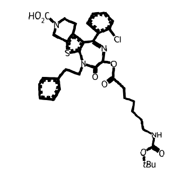 CC(C)(C)OC(=O)NCCCCCCC(=O)OC1N=C(c2ccccc2Cl)c2c(sc3c2CCN(C(=O)O)C3)N(CCc2ccccc2)C1=O